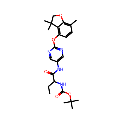 CCC(NC(=O)OC(C)(C)C)C(=O)Nc1cnc(Oc2ccc(C)c3c2C(C)(C)CO3)nc1